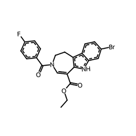 CCOC(=O)C1=CN(C(=O)c2ccc(F)cc2)CCc2c1[nH]c1cc(Br)ccc21